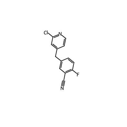 N#Cc1cc(Cc2ccnc(Cl)c2)ccc1F